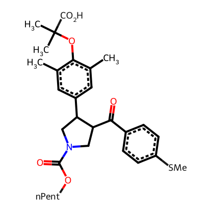 CCCCCOC(=O)N1CC(C(=O)c2ccc(SC)cc2)C(c2cc(C)c(OC(C)(C)C(=O)O)c(C)c2)C1